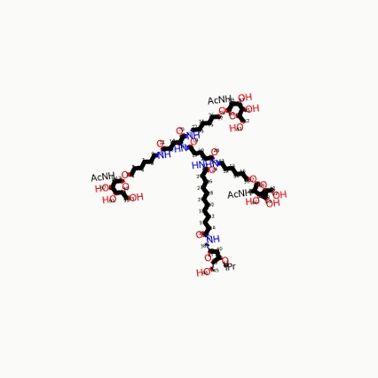 CC(=O)NC1C(OCCCCCCNC(=O)CCC(NC(=O)CCC(NC(=O)CCCCCCCCCCC(=O)NC[C@@H]2C[C@@H](OC(C)C)[C@H](CO)O2)C(=O)NCCCCCCOC2OC3(CO)C(O)C3(O)C2NC(C)=O)C(=O)NCCCCCCOC2OC(CO)C(O)C(O)C2NC(C)=O)OC(CO)C(O)C1O